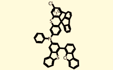 CC1CC=CC2=C1C1(c3ccc(Cl)cc3Sc3cc(N(c4ccccc4)c4cc(-c5cccc6c5oc5ccccc56)c5sc6ccccc6c5c4)ccc31)c1ccccc12